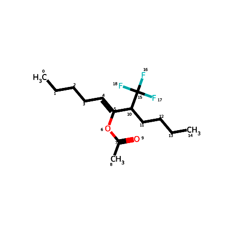 CCCC/C=C(\OC(C)=O)C(CCCC)C(F)(F)F